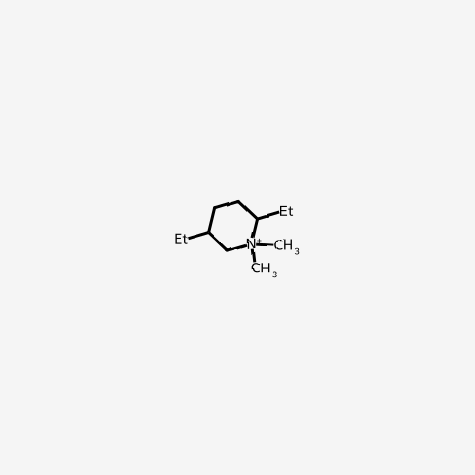 CCC1CCC(CC)[N+](C)(C)C1